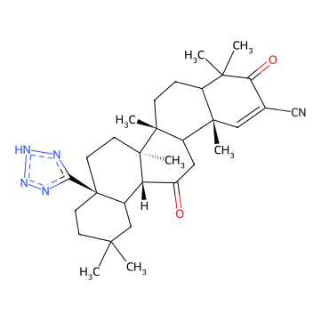 CC1(C)CC[C@]2(c3nn[nH]n3)CC[C@]3(C)[C@H](C(=O)CC4[C@@]5(C)C=C(C#N)C(=O)C(C)(C)C5CC[C@]43C)C2C1